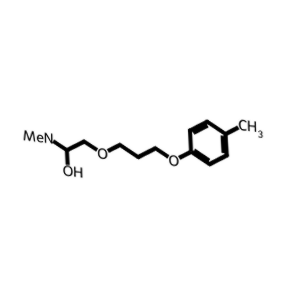 CNC(O)COCCCOc1ccc(C)cc1